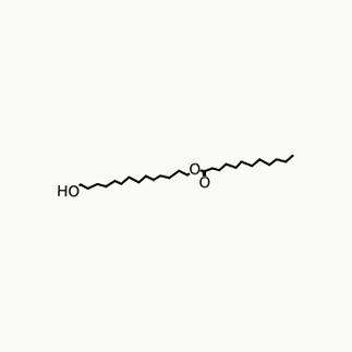 CCCCCCCCCCCC(=O)OCCCCCCCCCCCCCCO